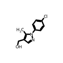 Cc1c(CO)cnn1-c1ccc(Cl)cc1